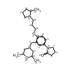 CC1CN(Cc2cc(N3CCCC3=O)ccc2OCCCN2CCCC2C)CC(C)O1